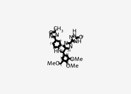 COCc1cc(C(Nc2ccc(-c3noc(C)n3)cc2)c2cnc(-c3n[nH]c(=O)[nH]3)nc2)cc(OC)c1OC